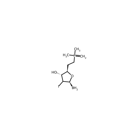 B[C@@H]1O[C@H](CCP(=C)(C)C)[C@@H](O)C1I